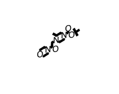 CC1CN(C(=O)OC(C)(C)C)CCN1CC(=O)N1CCOCC1